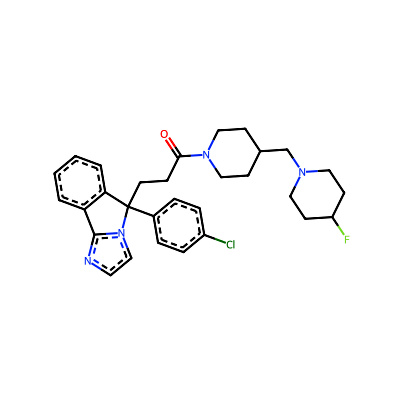 O=C(CCC1(c2ccc(Cl)cc2)c2ccccc2-c2nccn21)N1CCC(CN2CCC(F)CC2)CC1